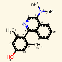 CCCN(CCC)c1cnc(-c2c(C)cc(O)cc2C)c2ccccc12